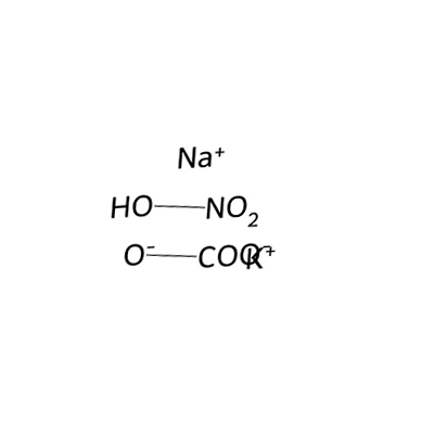 O=C([O-])[O-].O=[N+]([O-])O.[K+].[Na+]